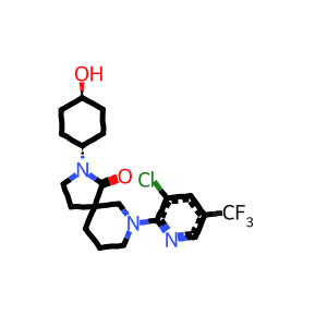 O=C1N([C@H]2CC[C@H](O)CC2)CCC12CCCN(c1ncc(C(F)(F)F)cc1Cl)C2